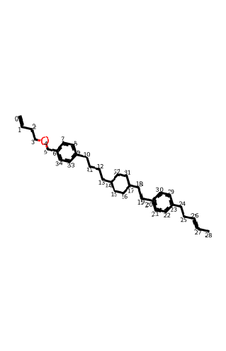 C=CCCOCc1ccc(CCCCC2CCC(CCc3ccc(CCC=CC)cc3)CC2)cc1